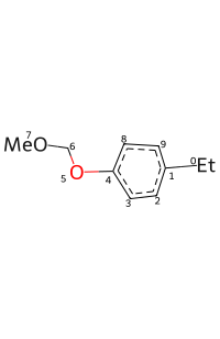 CCc1ccc(OCOC)cc1